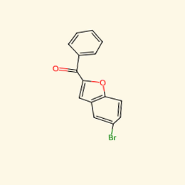 O=C(c1ccccc1)c1cc2cc(Br)ccc2o1